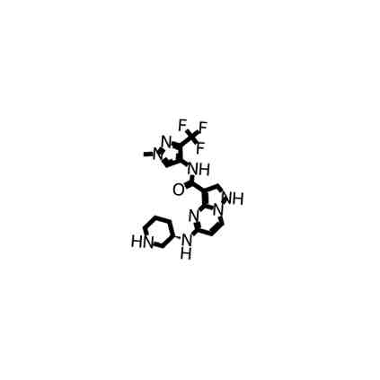 Cn1cc(NC(=O)C2=C3N=C(N[C@H]4CCCNC4)C=CN3NC2)c(C(F)(F)F)n1